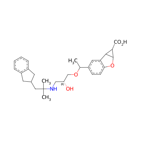 CC(OC[C@H](O)CNC(C)(C)CC1Cc2ccccc2C1)c1ccc2c(c1)C1C(O2)C1C(=O)O